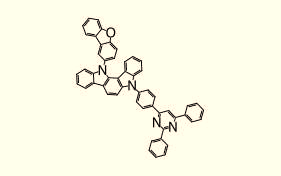 c1ccc(-c2cc(-c3ccc(-n4c5ccccc5c5c4ccc4c6ccccc6n(-c6ccc7oc8ccccc8c7c6)c45)cc3)nc(-c3ccccc3)n2)cc1